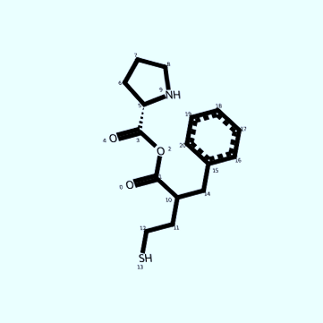 O=C(OC(=O)[C@@H]1CCCN1)C(CCS)Cc1ccccc1